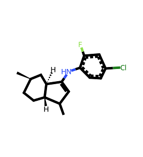 CC1C=C(Nc2ccc(Cl)cc2F)[C@@H]2C[C@H](C)CC[C@@H]12